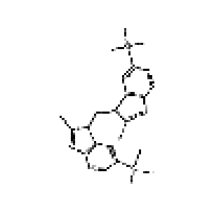 CC1=Cc2ccc([Si](C)(C)C)cc2C1CC1C(C)=Cc2ccc([Si](C)(C)C)cc21